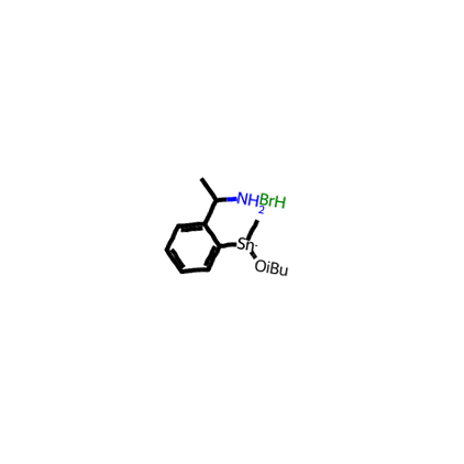 Br.CC(C)C[O][Sn]([CH3])[c]1ccccc1C(C)N